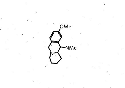 CNC1c2cc(OC)ccc2CN2CCCCC12